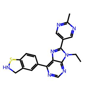 CCn1c(-c2cnc(C)nc2)nc2c(-c3ccc4c(c3)CNS4)ncnc21